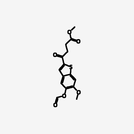 COC(=O)CCC(=O)c1cc2cc(OC=O)c(OC)cc2s1